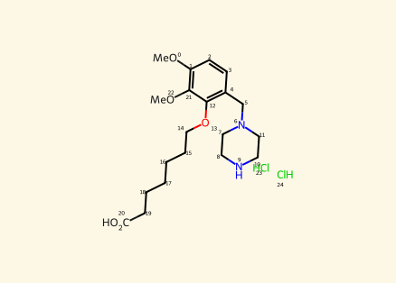 COc1ccc(CN2CCNCC2)c(OCCCCCCC(=O)O)c1OC.Cl.Cl